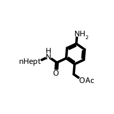 CCCCCCCNC(=O)c1cc(N)ccc1COC(C)=O